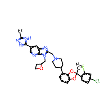 CCc1nnc(-c2cnc3c(c2)nc(CN2CCC(c4cccc5c4OC(C)(c4ccc(Cl)cc4F)O5)CC2)n3CC2CCO2)[nH]1